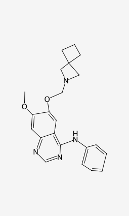 COc1cc2ncnc(Nc3ccccc3)c2cc1OCN1CC2(CCC2)C1